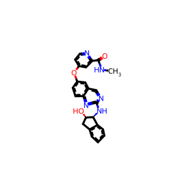 CNC(=O)c1cc(Oc2ccc3nc(N[C@H]4c5ccccc5C[C@H]4O)ncc3c2)ccn1